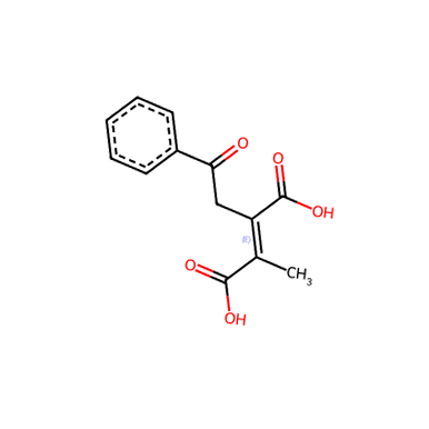 C/C(C(=O)O)=C(/CC(=O)c1ccccc1)C(=O)O